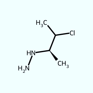 CC(Cl)[C@@H](C)NN